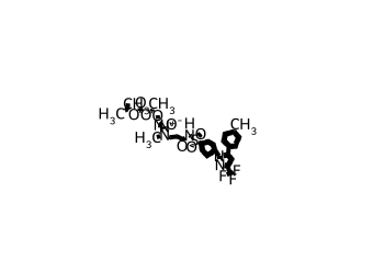 Cc1ccc(-c2cc(C(F)(F)F)nn2-c2ccc(S(=O)(=O)NC(=O)CCN(C)[N+]([O-])=NOC(C)OC(=O)OC(C)C)cc2)cc1